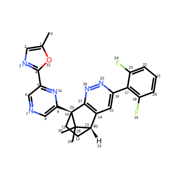 Cc1cnc(-c2cncc([C@@]34CC[C@@H](c5cc(-c6c(F)cccc6F)nnc53)C4(C)C)n2)o1